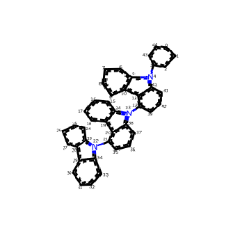 c1ccc(-n2c3ccccc3c3c(-n4c5ccccc5c5c(-n6c7ccccc7c7ccccc76)cccc54)cccc32)cc1